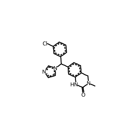 CN1Cc2ccc(C(c3cccc(Cl)c3)n3ccnc3)cc2NC1=O